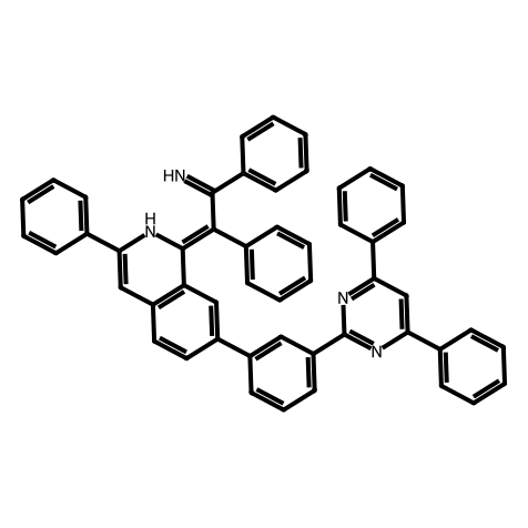 N=C(/C(=C1\NC(c2ccccc2)=Cc2ccc(-c3cccc(-c4nc(-c5ccccc5)cc(-c5ccccc5)n4)c3)cc21)c1ccccc1)c1ccccc1